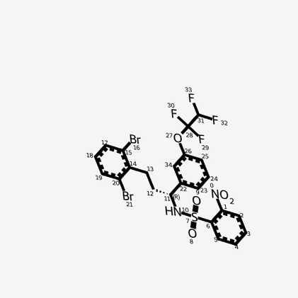 O=[N+]([O-])c1ccccc1S(=O)(=O)N[C@H](CCc1c(Br)cccc1Br)c1cccc(OC(F)(F)C(F)F)c1